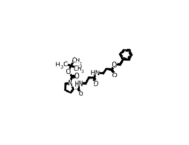 CC(C)(C)OC(=O)N1CCC[C@H]1C(=O)NCCC(=O)NCCC(=O)OCc1ccccc1